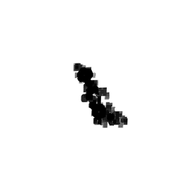 Cc1cc(CNC(=O)c2sc(-c3ccc(C(C)C)cc3)nc2C)ccc1OC(C)(C)C(=O)O